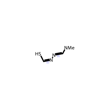 CN/C=N/N=C\S